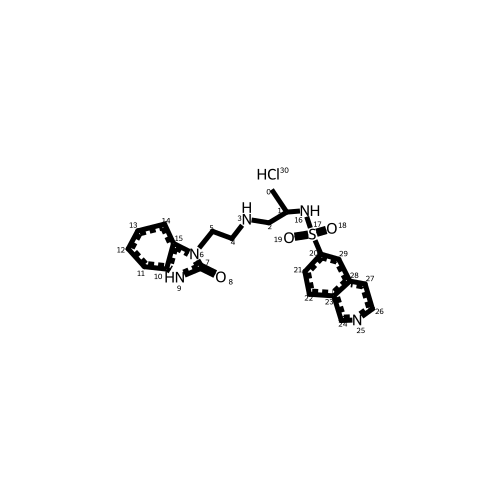 CC(CNCCn1c(=O)[nH]c2ccccc21)NS(=O)(=O)c1ccc2cnccc2c1.Cl